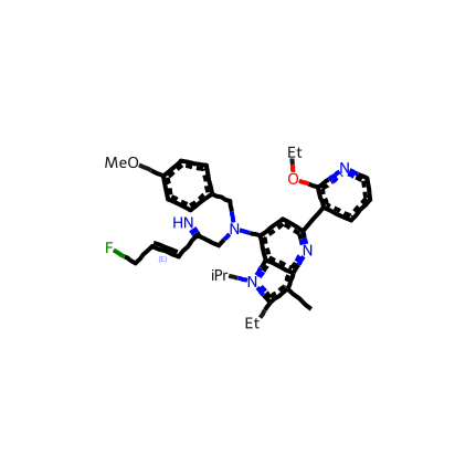 CCOc1ncccc1-c1cc(N(CC(=N)/C=C/CF)Cc2ccc(OC)cc2)c2c(n1)c(C)c(CC)n2C(C)C